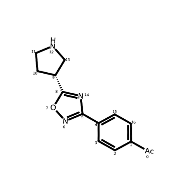 CC(=O)c1ccc(-c2noc([C@@H]3CCNC3)n2)cc1